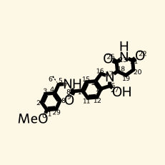 COc1ccc([C@H](C)NC(=O)c2ccc3c(c2)CN(C2CCC(=O)NC2=O)C3O)cc1